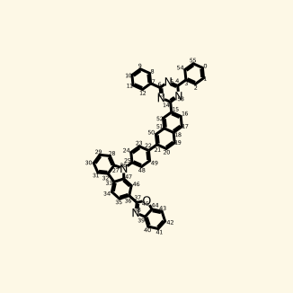 c1ccc(-c2nc(-c3ccccc3)nc(-c3ccc4ccc(-c5ccc(-n6c7ccccc7c7ccc(-c8nc9ccccc9o8)cc76)cc5)cc4c3)n2)cc1